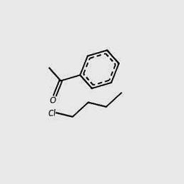 CC(=O)c1ccccc1.CCCCCl